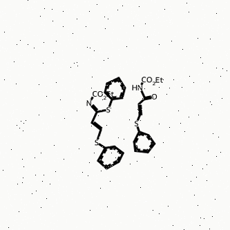 CCOC(=O)N=C(C=CSc1ccccc1)Sc1ccccc1.CCOC(=O)NC(=O)C=CSc1ccccc1